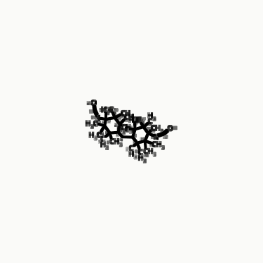 CC1(C)C(CC2C(C)(C)C(C)(C)C(C)(N=C=O)C(C)(C)C2(C)C)C(C)(C)C(C)(C)C(C)(N=C=O)C1(C)C